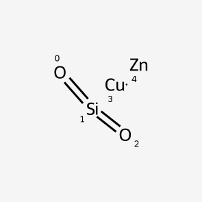 O=[Si]=O.[Cu].[Zn]